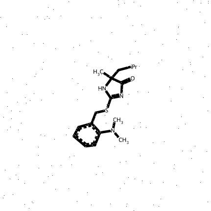 CC(C)CC1(C)NC(SCc2ccccc2N(C)C)=NC1=O